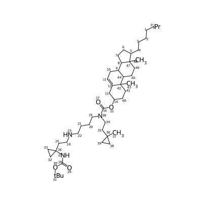 CC(C)CCCCC1CCC2C3CC=C4CC(OC(=O)N(CCCCNCCC5(NC(=O)OC(C)(C)C)CC5)CCC5(C)CC5)CCC4(C)C3CCC12C